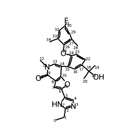 CCc1ncc(-c2cc3c(=O)n(C)cc(-c4cc(C(C)(C)O)ccc4Oc4c(C)cc(F)cc4C)c3o2)[nH]1